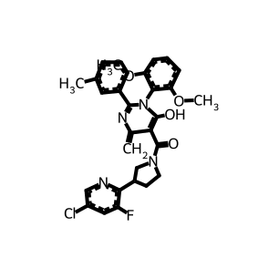 C=C1N=C(c2cccc(C)c2)N(c2c(OC)cccc2OC)C(O)=C1C(=O)N1CCC(c2ncc(Cl)cc2F)C1